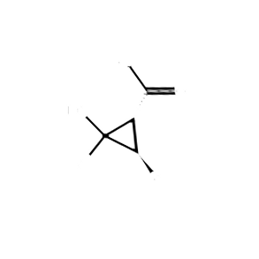 C[C@@H]1[C@@H](C(=O)Cl)C1(C)C